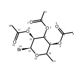 CC(=O)OC1[C@@H](OC(C)=O)C(C)O[C@@H](Br)[C@H]1OC(C)=O